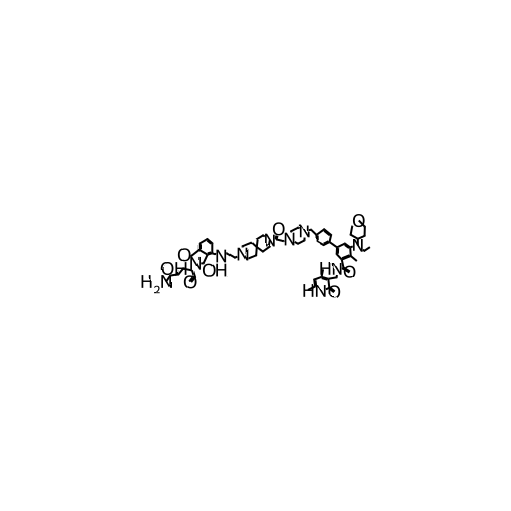 CCN(c1cc(-c2ccc(CN3CCN(CC(=O)N4CCC5(CCN(CCNc6cccc7c6C(=O)N(C(C=O)CCC(N)O)C7=O)CC5)CC4)CC3)cc2)cc(C(=O)NCc2c(C)cc(C)[nH]c2=O)c1C)C1CCOCC1